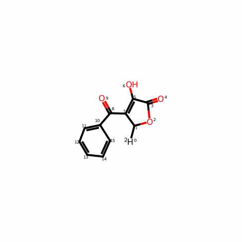 [2H]C1OC(=O)C(O)=C1C(=O)c1ccccc1